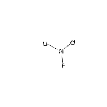 [Li][Al]([F])[Cl]